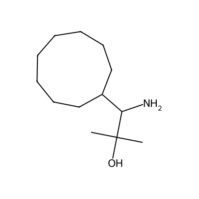 CC(C)(O)C(N)C1CCCCCCCC1